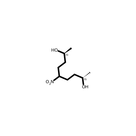 C[C@H](O)CCC(CC[C@H](C)O)[N+](=O)[O-]